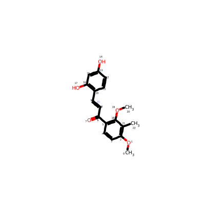 COc1ccc(C(=O)/C=C/c2ccc(O)cc2O)c(OC)c1C